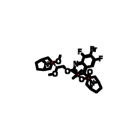 COC1CC2CCC(C1)N2C[C@H](COc1nc(N2CC3CCC(C2)N3C(=O)OC(C)(C)C)c2cc(F)c(Br)c(F)c2n1)OC